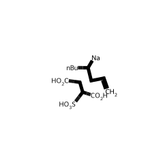 C=CC[CH]([Na])CCCC.O=C(O)CC(C(=O)O)S(=O)(=O)O